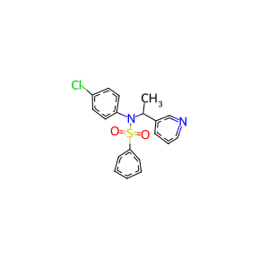 CC(c1cccnc1)N(c1ccc(Cl)cc1)S(=O)(=O)c1ccccc1